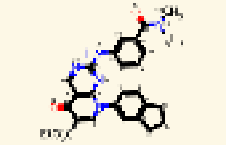 CCOC(=O)c1cn(-c2ccc3c(c2)CCC3)c2nc(Nc3cccc(C(=O)N(C)C)c3)ncc2c1=O